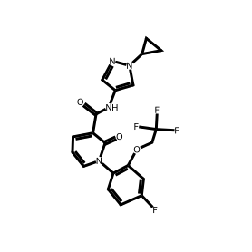 O=C(Nc1cnn(C2CC2)c1)c1cccn(-c2ccc(F)cc2OCC(F)(F)F)c1=O